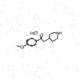 COc1ccc(C(=O)CC2CCNCC2)cc1.Cl